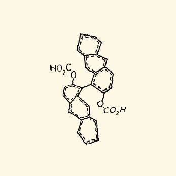 O=C(O)Oc1ccc2cc3ccccc3cc2c1-c1c(OC(=O)O)ccc2cc3ccccc3cc12